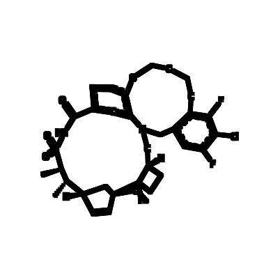 COC12C=C[C@@H](C1)[C@H](C)[C@@H](C)S(=O)(=O)NC(=O)c1ccc3c(c1)N(Cc1cc(F)c(Cl)c(F)c1CCCCO3)C[C@@H]1CC[C@H]12